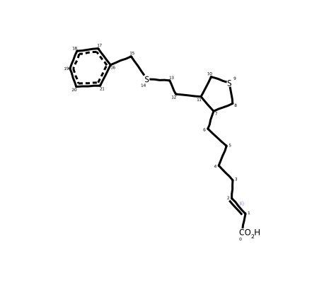 O=C(O)/C=C/CCCCC1CSCC1CCSCc1ccccc1